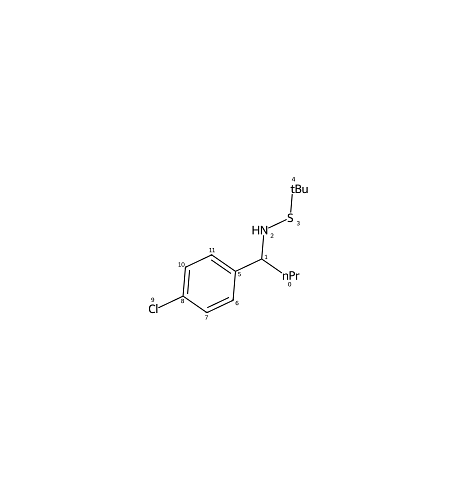 CCCC(NSC(C)(C)C)c1ccc(Cl)cc1